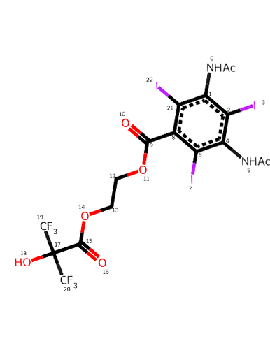 CC(=O)Nc1c(I)c(NC(C)=O)c(I)c(C(=O)OCCOC(=O)C(O)(C(F)(F)F)C(F)(F)F)c1I